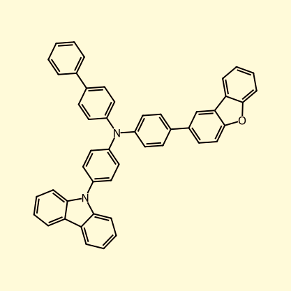 c1ccc(-c2ccc(N(c3ccc(-c4ccc5oc6ccccc6c5c4)cc3)c3ccc(-n4c5ccccc5c5ccccc54)cc3)cc2)cc1